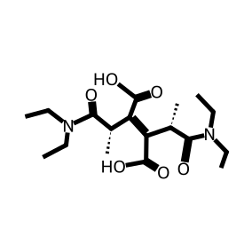 CCN(CC)C(=O)[C@@H](C)C(C(=O)O)=C(C(=O)O)[C@H](C)C(=O)N(CC)CC